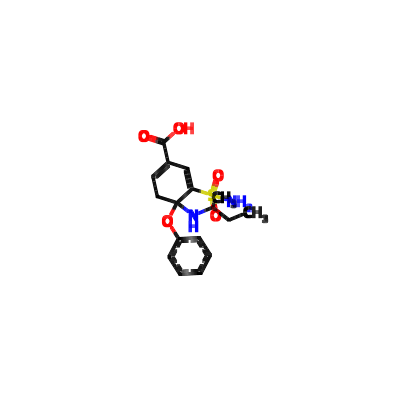 CCC(C)NC1(Oc2ccccc2)CC=C(C(=O)O)C=C1S(N)(=O)=O